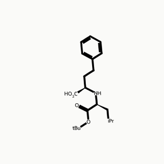 CC(C)C[C@H](N[C@H](CCc1ccccc1)C(=O)O)C(=O)OC(C)(C)C